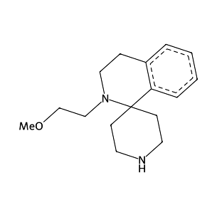 COCCN1CCc2ccccc2C12CCNCC2